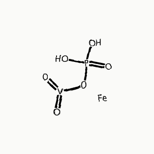 [Fe].[O]=[V](=[O])[O]P(=O)(O)O